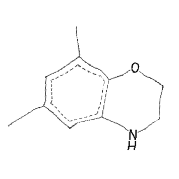 Cc1cc(C)c2c(c1)NCCO2